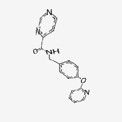 O=C(NCc1ccc(Oc2ccccn2)cc1)c1ccncn1